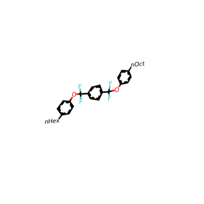 CCCCCCCCc1ccc(OC(F)(F)c2ccc(C(F)(F)Oc3ccc(CCCCCC)cc3)cc2)cc1